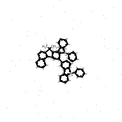 CC1(C)c2ccc3ccccc3c2-c2cc(-c3ccc4c(c3)c3ccccc3n4-c3ccccc3)c3c(c21)c1ccccc1n3-c1ccccc1